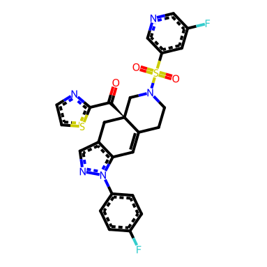 O=C(c1nccs1)[C@]12Cc3cnn(-c4ccc(F)cc4)c3C=C1CCN(S(=O)(=O)c1cncc(F)c1)C2